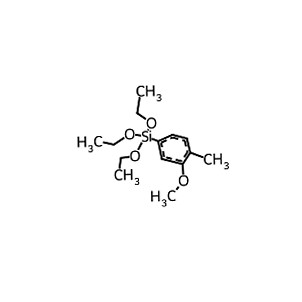 CCO[Si](OCC)(OCC)c1ccc(C)c(OC)c1